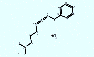 CN(C)CCCN=C=NCc1ccccc1.Cl